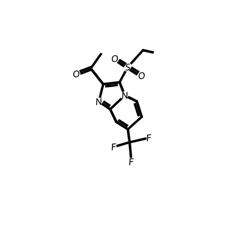 CCS(=O)(=O)c1c(C(C)=O)nc2cc(C(F)(F)F)ccn12